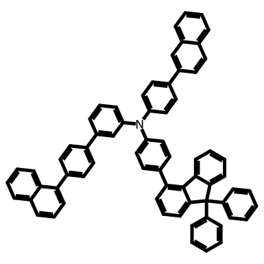 c1ccc(C2(c3ccccc3)c3ccccc3-c3c(-c4ccc(N(c5ccc(-c6ccc7ccccc7c6)cc5)c5cccc(-c6ccc(-c7cccc8ccccc78)cc6)c5)cc4)cccc32)cc1